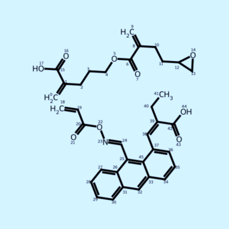 C=C(CCCOC(=O)C(=C)CCC1CO1)C(=O)O.C=CC(=O)ON=Cc1c2ccccc2cc2cccc(C=C(CC)C(=O)O)c12